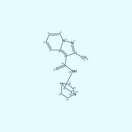 Cc1nn2ccccc2c1C(=O)NC1CN2CCC1CC2